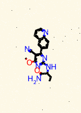 CCC(Nc1nc(OC)c(C#N)c(-c2ccc3ncccc3c2)n1)C(N)=O